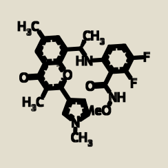 CONC(=O)c1c(N[C@H](C)c2cc(C)cc3c(=O)c(C)c(-c4ccn(C)c4)oc23)ccc(F)c1F